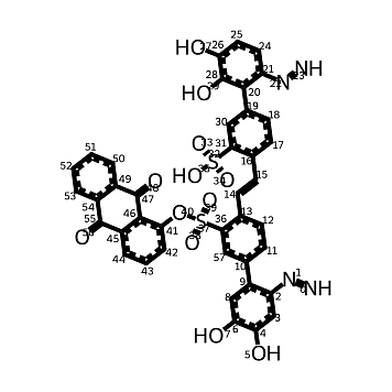 N=Nc1cc(O)c(O)cc1-c1ccc(C=Cc2ccc(-c3c(N=N)ccc(O)c3O)cc2S(=O)(=O)O)c(S(=O)(=O)Oc2cccc3c2C(=O)c2ccccc2C3=O)c1